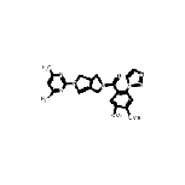 COc1cc(C(=O)N2CC3=CN(c4nc(C)cc(C)n4)CC3C2)c(-n2ccnn2)cc1OC